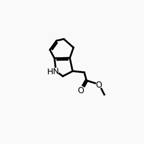 COC(=O)CC1CNC2=C1CCC=C2